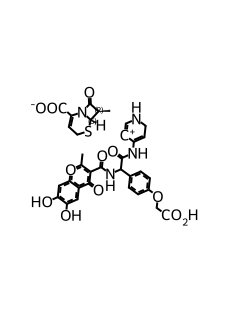 C[C@@H]1C(=O)N2C(C(=O)[O-])=CCS[C@@H]12.Cc1oc2cc(O)c(O)cc2c(=O)c1C(=O)NC(C(=O)NC1=CCNC=[C+]1)c1ccc(OCC(=O)O)cc1